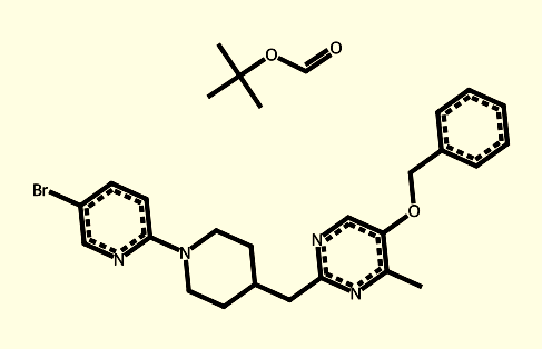 CC(C)(C)OC=O.Cc1nc(CC2CCN(c3ccc(Br)cn3)CC2)ncc1OCc1ccccc1